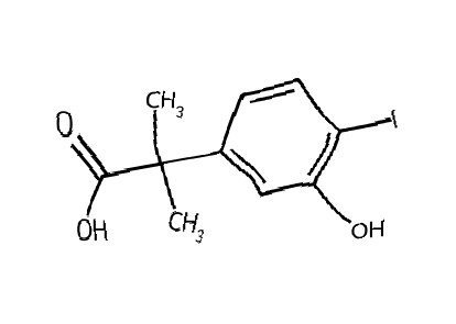 CC(C)(C(=O)O)c1ccc(I)c(O)c1